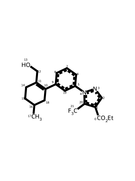 CCOC(=O)c1cnn(-c2cccc(C3=C(CO)CCC(C)C3)c2)c1C(F)(F)F